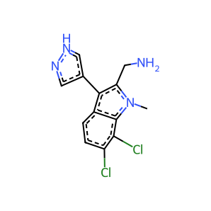 Cn1c(CN)c(-c2cn[nH]c2)c2ccc(Cl)c(Cl)c21